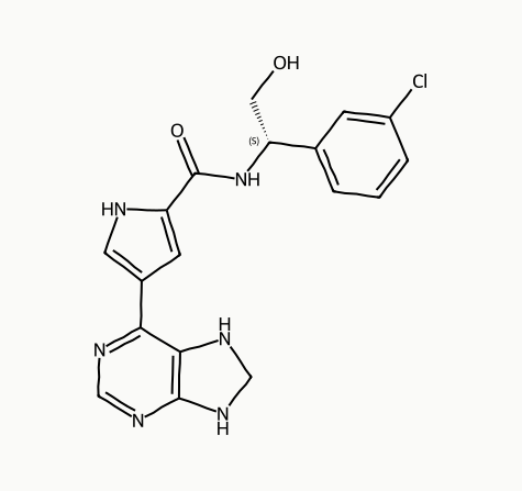 O=C(N[C@H](CO)c1cccc(Cl)c1)c1cc(-c2ncnc3c2NCN3)c[nH]1